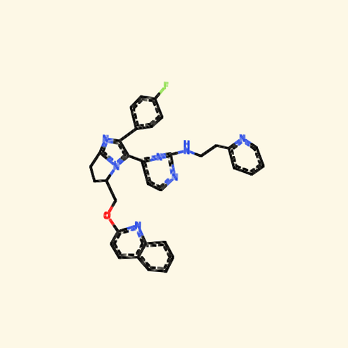 Fc1ccc(-c2nc3n(c2-c2ccnc(NCCc4ccccn4)n2)C(COc2ccc4ccccc4n2)CC3)cc1